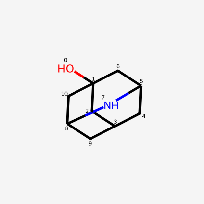 OC12CC3CC(C1)NC(C3)C2